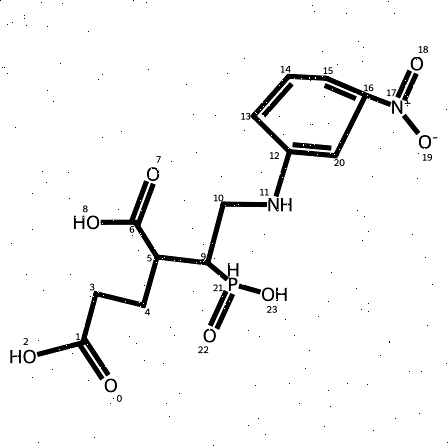 O=C(O)CCC(C(=O)O)C(CNc1cccc([N+](=O)[O-])c1)[PH](=O)O